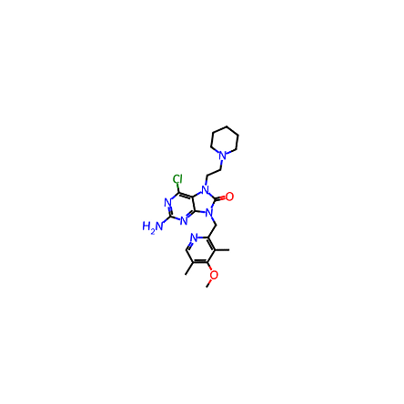 COc1c(C)cnc(Cn2c(=O)n(CCN3CCCCC3)c3c(Cl)nc(N)nc32)c1C